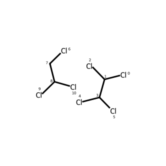 ClC(Cl)C(Cl)Cl.ClCC(Cl)Cl